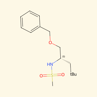 CC(C)(C)C[C@@H](COCc1ccccc1)NS(C)(=O)=O